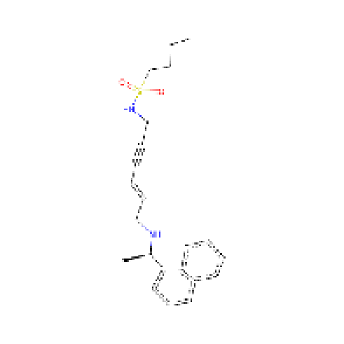 CCCCS(=O)(=O)NCC#C/C=C/CN[C@H](C)c1cccc2ccccc12